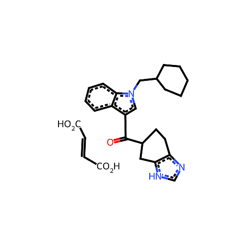 O=C(O)C=CC(=O)O.O=C(c1cn(CC2CCCCC2)c2ccccc12)C1CCc2nc[nH]c2C1